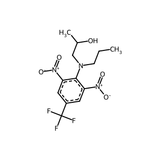 CCCN(CC(C)O)c1c([N+](=O)[O-])cc(C(F)(F)F)cc1[N+](=O)[O-]